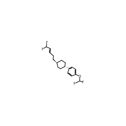 FC(F)C=CCC[C@H]1CC[C@H](c2ccc(OC(F)F)cc2)CC1